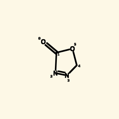 O=C1N=NCO1